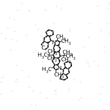 Cc1c(C)n(-c2c3ccccc3cc3ccccc23)c2cc3c(C(C)(C)C)c4cc5c(C)c(C)n(-c6c7ccccc7cc7ccccc67)c5cc4c(C(C)(C)C)c3cc12